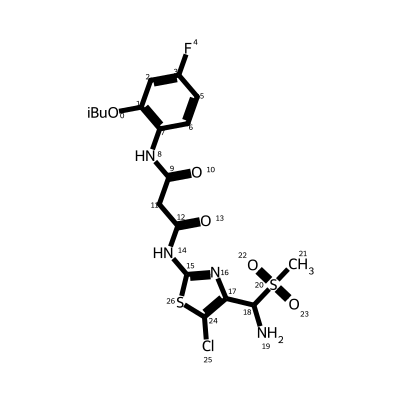 CC(C)COc1cc(F)ccc1NC(=O)CC(=O)Nc1nc(C(N)S(C)(=O)=O)c(Cl)s1